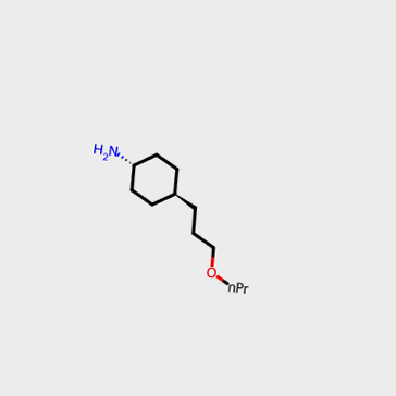 CCCOCCC[C@H]1CC[C@H](N)CC1